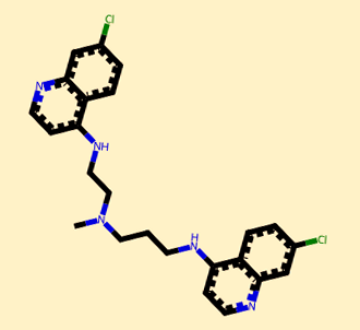 CN(CCCNc1ccnc2cc(Cl)ccc12)CCNc1ccnc2cc(Cl)ccc12